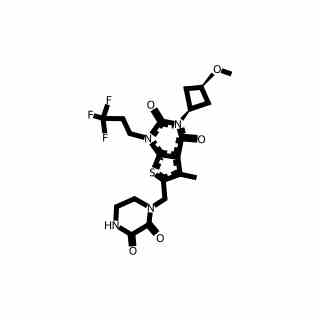 CO[C@H]1C[C@@H](n2c(=O)c3c(C)c(CN4CCNC(=O)C4=O)sc3n(CCC(F)(F)F)c2=O)C1